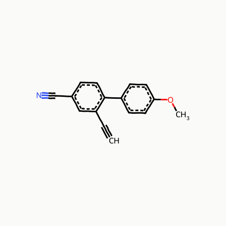 C#Cc1cc(C#N)ccc1-c1ccc(OC)cc1